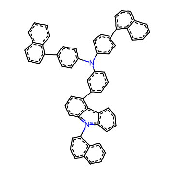 c1cc(-c2cccc3c2c2ccccc2n3-c2cccc3ccccc23)cc(N(c2ccc(-c3cccc4ccccc34)cc2)c2ccc(-c3cccc4ccccc34)cc2)c1